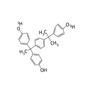 [2H]Oc1ccc(C(C)(C)c2ccc(C(C)(c3ccc(O)cc3)c3ccc(O[2H])cc3)cc2)cc1